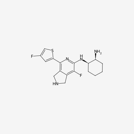 N[C@H]1CCCC[C@H]1Nc1nc(-c2cc(F)cs2)c2c(c1F)CNC2